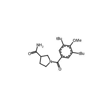 COc1c(C(C)(C)C)cc(C(=O)N2CCC(C(N)=O)C2)cc1C(C)(C)C